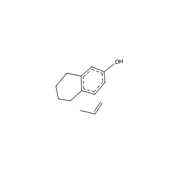 C=CC.Oc1ccc2c(c1)CCCC2